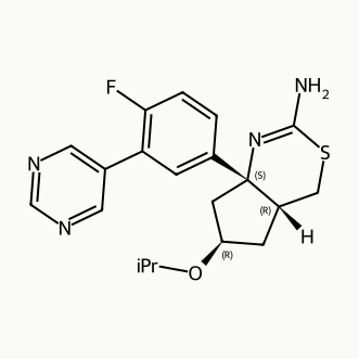 CC(C)O[C@@H]1C[C@H]2CSC(N)=N[C@@]2(c2ccc(F)c(-c3cncnc3)c2)C1